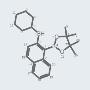 CC1(C)OB(c2c(BC3CCCCC3)ccc3ccccc23)OC1(C)C